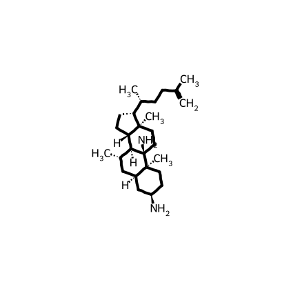 C=C(C)CC[C@@H](C)[C@H]1CC[C@H]2[C@@H]3[C@@H](C)C[C@@H]4C[C@H](N)CC[C@]4(C)[C@@]3(N)CC[C@]12C